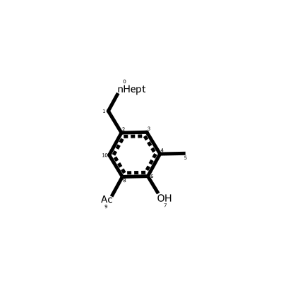 CCCCCCCCc1cc(C)c(O)c(C(C)=O)c1